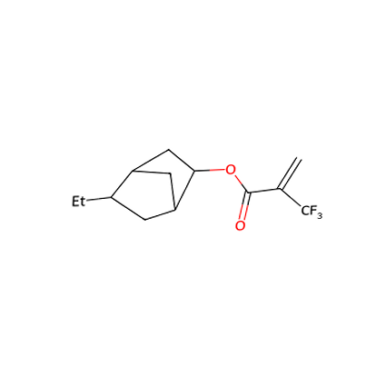 [CH2]CC1CC2CC1CC2OC(=O)C(=C)C(F)(F)F